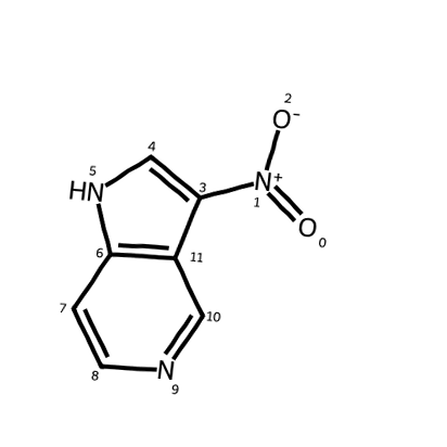 O=[N+]([O-])c1c[nH]c2ccncc12